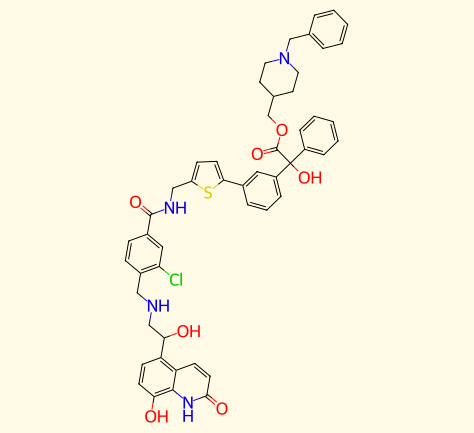 O=C(NCc1ccc(-c2cccc(C(O)(C(=O)OCC3CCN(Cc4ccccc4)CC3)c3ccccc3)c2)s1)c1ccc(CNCC(O)c2ccc(O)c3[nH]c(=O)ccc23)c(Cl)c1